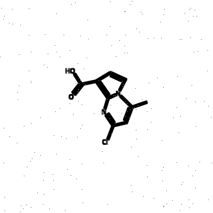 Cc1cc(Cl)nc2c(C(=O)O)ccn12